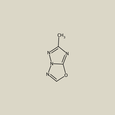 Cc1nc2ocnn2n1